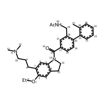 CCOc1cc2c(cc1CCCN(C)C)N(C(=O)c1ccc(-c3ccccc3C)c(CNC(C)=O)c1)CC2